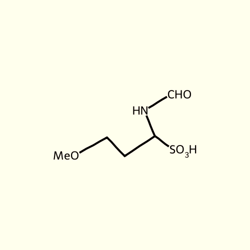 COCCC(NC=O)S(=O)(=O)O